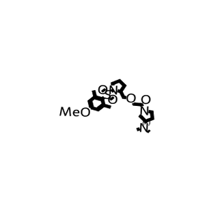 COc1cc(C)c(S(=O)(=O)N2CCCC2COCC(=O)N2CC[C@@H](N(C)C)C2)c(C)c1